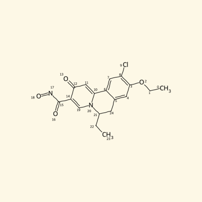 CCOc1cc2c(cc1Cl)-c1cc(=O)c(C(=O)N=O)cn1C(CC)C2